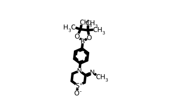 CN=C1C[S+]([O-])CCN1c1ccc(B2OC(C)(C)C(C)(C)O2)cc1